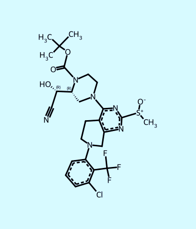 C[S+]([O-])c1nc2c(c(N3CCN(C(=O)OC(C)(C)C)[C@@H]([C@@H](O)C#N)C3)n1)CCN(c1cccc(Cl)c1C(F)(F)F)C2